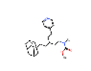 CCN(CCC(C[CH]c1ccncc1)CCC12CC3CC(CC(C3)C1)C2)C(=O)OC(C)(C)C